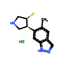 Cc1cc2cn[nH]c2cc1[C@@H]1CNC[C@@H]1F.Cl